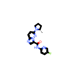 C[C@H]1CCCN1c1ccc2ncc(C(=O)Nc3ccc(F)cn3)n2n1